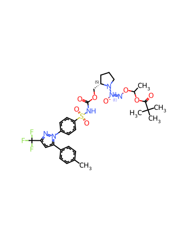 Cc1ccc(-c2cc(C(F)(F)F)nn2-c2ccc(S(=O)(=O)NC(=O)OC[C@@H]3CCCN3/[N+]([O-])=N\OC(C)OC(=O)C(C)(C)C)cc2)cc1